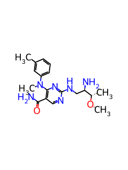 CO[C@@H](C)[C@H](N)CNc1ncc(C(N)=O)c(N(C)c2cccc(C)c2)n1